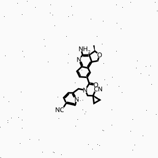 C[C@H]1OCc2c1c(N)nc1ccc(C(=O)N(Cc3ccc(C#N)cn3)CC3(C#N)CC3)cc21